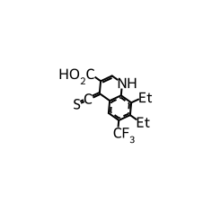 CCc1c(C(F)(F)F)cc2c(c1CC)NC=C(C(=O)O)C2=C=S